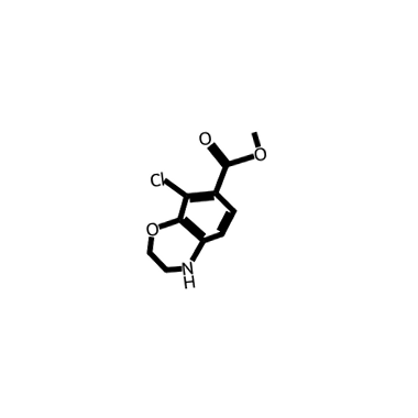 COC(=O)c1ccc2c(c1Cl)OCCN2